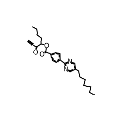 C#CC(=O)C(CCCC)OC(=O)c1ccc(-c2ncc(CCCCCCC)cn2)cc1